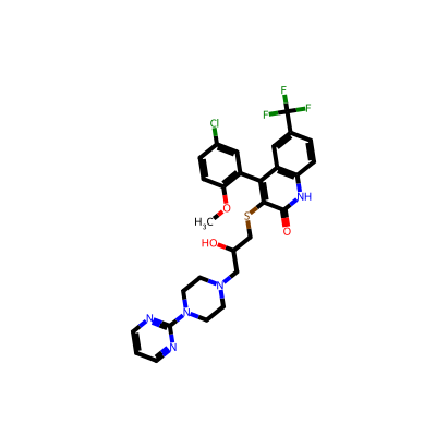 COc1ccc(Cl)cc1-c1c(SCC(O)CN2CCN(c3ncccn3)CC2)c(=O)[nH]c2ccc(C(F)(F)F)cc12